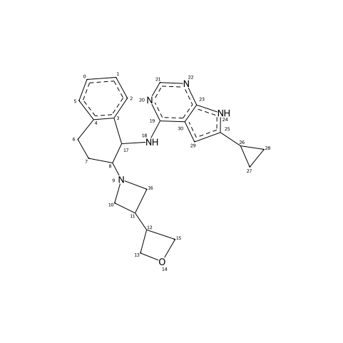 c1ccc2c(c1)CCC(N1CC(C3COC3)C1)C2Nc1ncnc2[nH]c(C3CC3)cc12